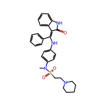 CN(c1ccc(N/C(=C2\C(=O)Nc3ccccc32)c2ccccc2)cc1)S(=O)(=O)CCN1CCCCC1